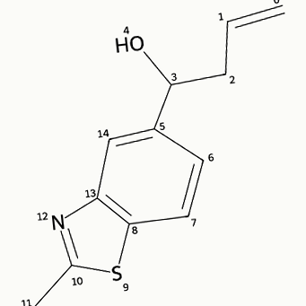 C=CCC(O)c1ccc2sc(C)nc2c1